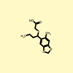 CCCC(SCC(=O)O)c1cc2c(cc1C)OCO2